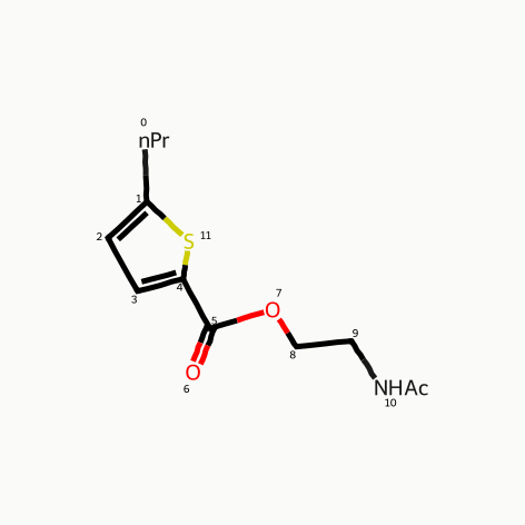 CCCc1ccc(C(=O)OCCNC(C)=O)s1